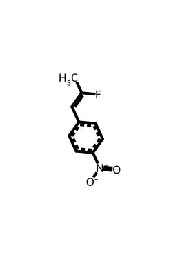 CC(F)=Cc1ccc([N+](=O)[O-])cc1